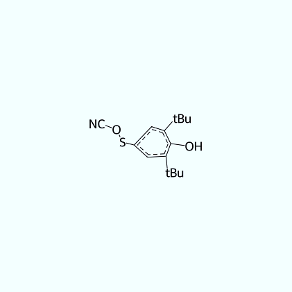 CC(C)(C)c1cc(SOC#N)cc(C(C)(C)C)c1O